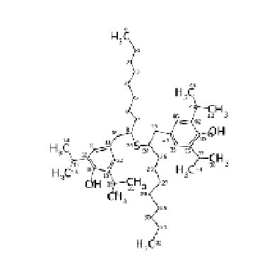 CCCCCCCCC(Cc1cc(C(C)C)c(O)c(C(C)C)c1)SC(CCCCCCCC)Cc1cc(C(C)C)c(O)c(C(C)C)c1